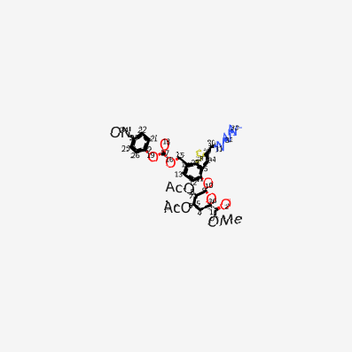 COC(=O)[C@@H]1C[C@H](OC(C)=O)[C@@H](OC(C)=O)[C@H](Oc2ccc(COC(=O)Oc3ccc(N=O)cc3)c3sc(CN=[N+]=[N-])cc23)O1